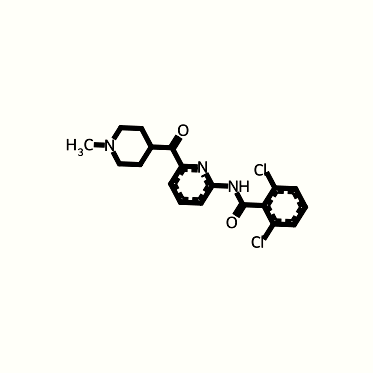 CN1CCC(C(=O)c2cccc(NC(=O)c3c(Cl)cccc3Cl)n2)CC1